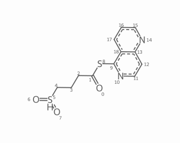 O=C(CCC[SH](=O)=O)Sc1nccc2ncccc12